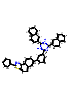 c1ccc(C2Nc3c(ccc4cc(-c5cccc(C6=NC(c7ccc8ccccc8c7)NC(c7ccc8ccccc8c7)N6)c5)ccc34)S2)cc1